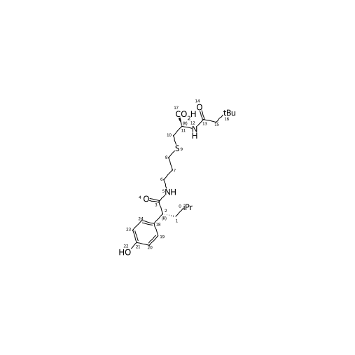 CC(C)C[C@@H](C(=O)NCCCSC[C@H](NC(=O)CC(C)(C)C)C(=O)O)c1ccc(O)cc1